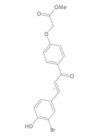 COC(=O)COc1ccc(C(=O)/C=C/c2ccc(O)c(Br)c2)cc1